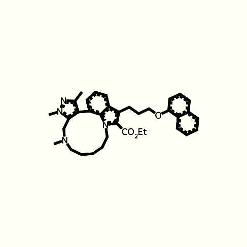 CCOC(=O)c1c(CCCOc2cccc3ccccc23)c2cccc3c2n1CCCCCN(C)Cc1c-3c(C)nn1C